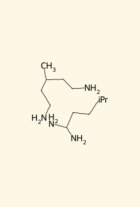 CC(C)CCC(N)N.CC(CCN)CCN